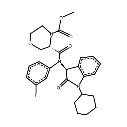 COC(=O)N1CCOC[C@H]1C(=O)N(c1cccc(F)c1)[C@@H]1C(=O)N(C2CCCCC2)c2ccccc21